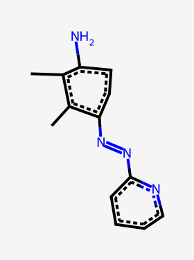 Cc1c(N)ccc(N=Nc2ccccn2)c1C